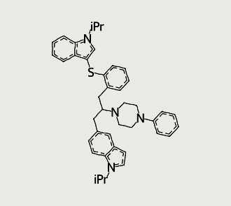 CC(C)n1ccc2cc(CC(Cc3ccccc3Sc3cn(C(C)C)c4ccccc34)N3CCN(c4ccccc4)CC3)ccc21